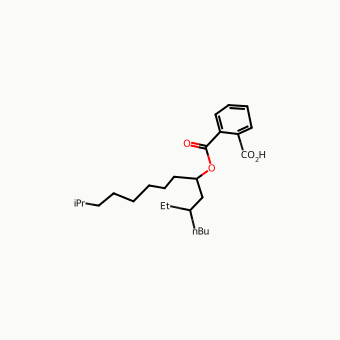 CCCCC(CC)CC(CCCCCCC(C)C)OC(=O)c1ccccc1C(=O)O